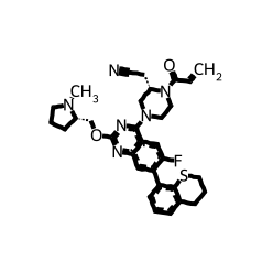 C=CC(=O)N1CCN(c2nc(OC[C@@H]3CCCN3C)nc3cc(-c4cccc5c4SCCC5)c(F)cc23)C[C@@H]1CC#N